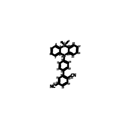 C[Si]1(C)c2ccccc2N(c2ccc(-c3cc(C#N)ccc3C#N)cc2)c2ccccc21